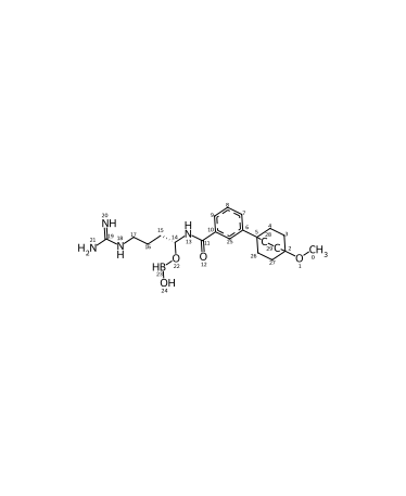 COC12CCC(c3cccc(C(=O)N[C@@H](CCCNC(=N)N)OBO)c3)(CC1)CC2